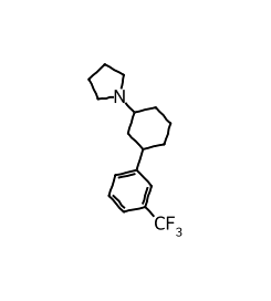 FC(F)(F)c1cccc(C2CCCC(N3CCCC3)C2)c1